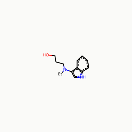 CCN(CCCO)c1c[nH]c2ccccc12